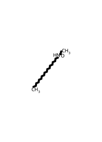 CCCCCCCCCCCCCCCCCCCNC(=O)CC